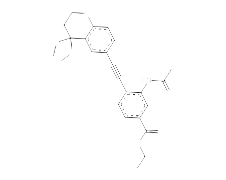 CCOC(=O)c1ccc(C#Cc2ccc3c(c2)C(SC)(SC)CCO3)c(NC(C)=O)c1